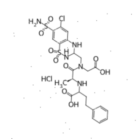 C[C@H](NC(CCc1ccccc1)C(=O)O)C(=O)N(CC(=O)O)CC1Nc2cc(Cl)c(S(N)(=O)=O)cc2S(=O)(=O)N1.Cl